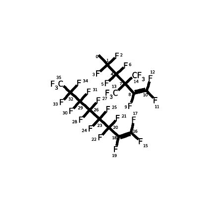 CC(F)(F)C(F)(F)C(C(F)=C(F)F)(C(F)(F)F)C(F)(F)F.FC(F)=C(F)C(F)(F)C(F)(F)C(F)(F)C(F)(F)C(F)(F)C(F)(F)F